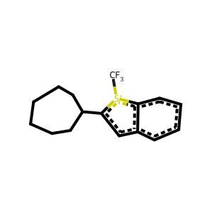 FC(F)(F)[s+]1c(C2CCCCCC2)cc2ccccc21